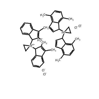 CC1=C(C)[CH]([Hf+4]2([CH]3C(C)=C(C)c4ccccc43)[CH2][CH2]2)c2ccccc21.Cc1ccc(C)c2c1C=C[CH]2[Hf]1([CH]2C=Cc3c(C)ccc(C)c32)[CH2][CH2]1.[Cl-].[Cl-].[Cl-].[Cl-]